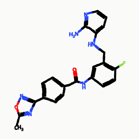 Cc1nc(-c2ccc(C(=O)Nc3ccc(F)c(CNc4cccnc4N)c3)cc2)no1